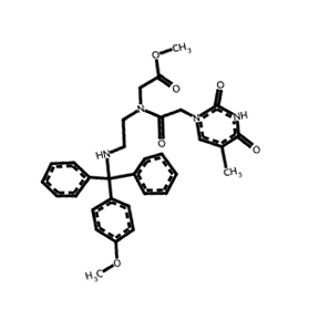 COC(=O)CN(CCNC(c1ccccc1)(c1ccccc1)c1ccc(OC)cc1)C(=O)Cn1cc(C)c(=O)[nH]c1=O